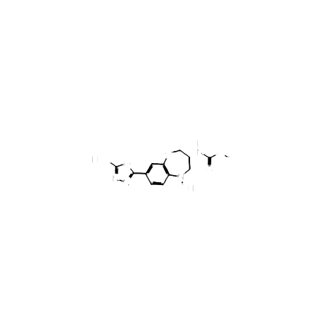 Cc1nnc(-c2ccc3c(c2)OC[C@H](NC(=O)OC(C)(C)C)CN3C)o1